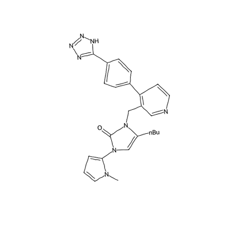 CCCCc1cn(-c2cccn2C)c(=O)n1Cc1cnccc1-c1ccc(-c2nnn[nH]2)cc1